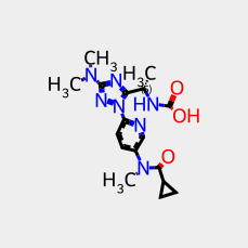 C[C@H](NC(=O)O)c1nc(N(C)C)nn1-c1ccc(N(C)C(=O)C2CC2)cn1